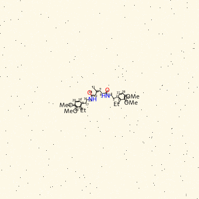 CCc1c(CCNC(=O)CCC(C)CC(=O)NCCc2ccc(OC)c(OC)c2CC)ccc(OC)c1OC